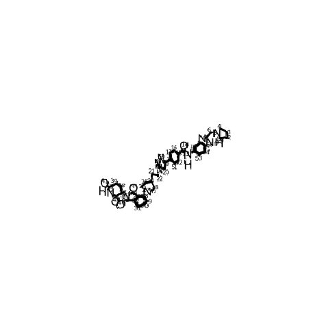 C[C@H]1CCCN1Cc1nc2cc(NC(=O)c3ccc(-c4cn(CCC5CCN(c6cccc7c6C(=O)N(C6CCC(=O)NC6=O)C7=O)CC5)nn4)cc3)ccc2[nH]1